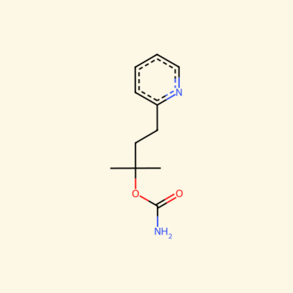 CC(C)(CCc1ccccn1)OC(N)=O